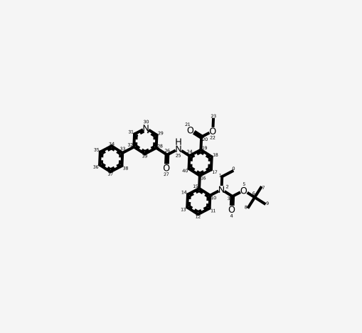 CCN(C(=O)OC(C)(C)C)c1ccccc1-c1ccc(C(=O)OC)c(NC(=O)c2cncc(-c3ccccc3)c2)c1